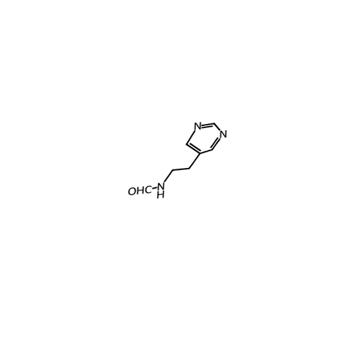 O=CNCCc1cncnc1